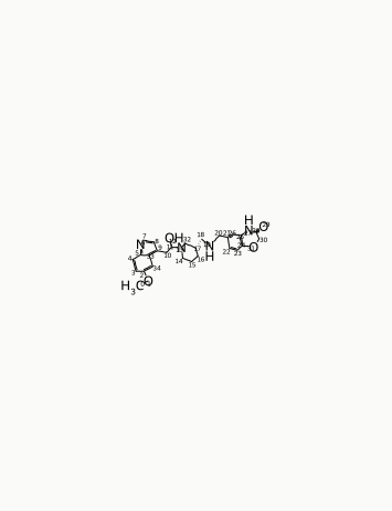 COc1ccc2nccc(CC(O)N3CCC[C@@H](CNCc4ccc5c(c4)NC(=O)CO5)C3)c2c1